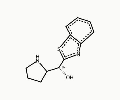 O[C@@H](c1nc2ccccc2s1)C1CCCN1